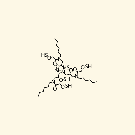 CCCCCCN(CC(CN(CC(CN(CCCCCC)C(=O)COS)OS)CC(CN(CCCCCC)C(=O)COS)OS)OS)C(=O)COS